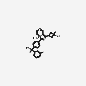 CC1(O)CC(C2=C3C=NC=C[N+]3(N)C(c3ccc(C(C)(O)c4cccc(F)c4)cc3)=N2)C1